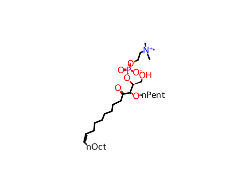 CCCCCCCC/C=C\CCCCCCCC(=O)C(OCCCCC)[C@H](CO)OP(=O)([O-])OCC[N+](C)(C)C